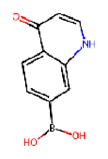 O=c1cc[nH]c2cc(B(O)O)ccc12